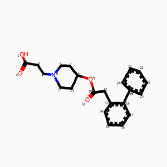 O=C(O)CCN1CCC(OC(=O)Cc2ccccc2-c2ccccc2)CC1